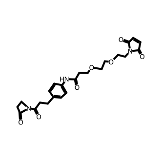 O=C(CCOCCOCCN1C(=O)C=CC1=O)Nc1ccc(CCC(=O)N2CCC2=O)cc1